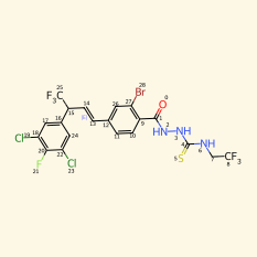 O=C(NNC(=S)NCC(F)(F)F)c1ccc(/C=C/C(c2cc(Cl)c(F)c(Cl)c2)C(F)(F)F)cc1Br